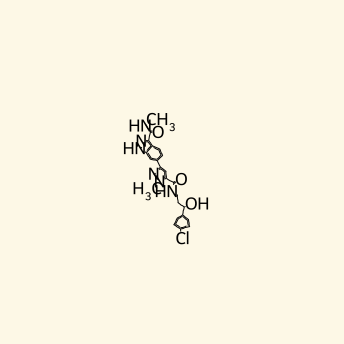 CNC(=O)c1n[nH]c2cc(-c3cc(C(=O)NCCC(O)c4ccc(Cl)cc4)n(C)n3)ccc12